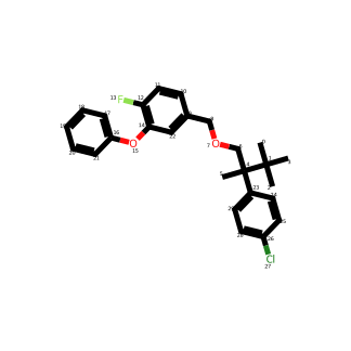 CC(C)(C)C(C)(COCc1ccc(F)c(Oc2ccccc2)c1)c1ccc(Cl)cc1